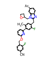 CC(=O)c1ccc2nc(Cc3cc(C)c(-c4cccc(OCc5ccc(C#N)cc5F)n4)cc3F)n(CC3CCO3)c2c1